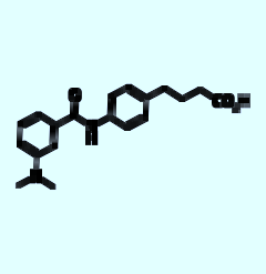 CN(C)c1cccc(C(=O)Nc2ccc(CCCC(=O)O)cc2)c1